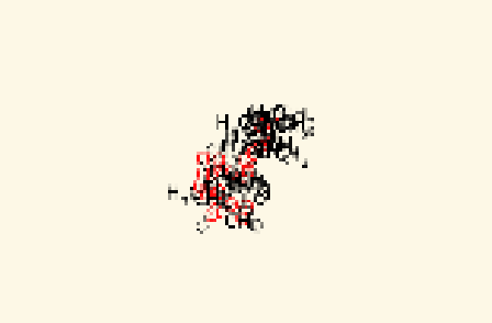 CC[C@H](C)[C@H](C[C@@H](CC(=O)O[C@H]1C(C)OCC(O[C@@H]2OC(C)[C@H](O[C@@H]3OC[C@@H](OCc4ccccc4)C(O[C@@H]4OC[C@@H](OCc5ccccc5)C(OCc5ccccc5)C4C)C3C)C3OC(C)(C)OC32)C1C)O[Si](C)(C)C(C)(C)C)OC(=O)C[C@H](C[C@H](O[C@@H]1O[C@@H](CO[Si](C)(C)C(C)(C)C)C(O[Si](C)(C)C(C)(C)C)C1C)[C@@H](C)CC)O[Si](C)(C)C(C)(C)C